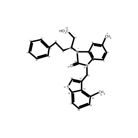 Cc1ccc2c(c1)n([C@@H](CCc1ccccc1)CC(=O)O)c(=O)n2Cc1csc2cccc(C)c12